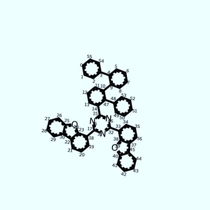 c1ccc(-c2ccccc2-c2cccc(-c3nc(-c4cccc5c4oc4ccccc45)nc(-c4cccc5c4oc4ccccc45)n3)c2-c2ccccc2)cc1